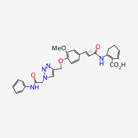 COc1cc(/C=C/C(=O)NC2=C(C(=O)O)C=CCC2)ccc1OCc1cn(CC(=O)Nc2ccccc2)nn1